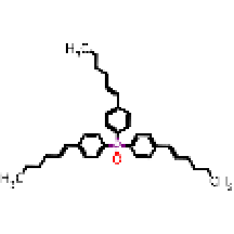 CCCC/C=C/c1ccc(P(=O)(c2ccc(/C=C/CCCC)cc2)c2ccc(/C=C/CCCC)cc2)cc1